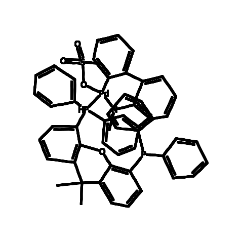 C[N]1c2ccccc2-c2cccc[c]2[Pd]1([O]S(C)(=O)=O)[PH](c1ccccc1)(c1ccccc1)c1cccc2c1Oc1c(P(c3ccccc3)c3ccccc3)cccc1C2(C)C